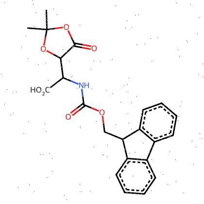 CC1(C)OC(=O)C(C(NC(=O)OCC2c3ccccc3-c3ccccc32)C(=O)O)O1